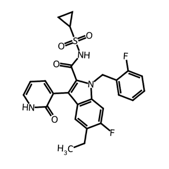 CCc1cc2c(-c3ccc[nH]c3=O)c(C(=O)NS(=O)(=O)C3CC3)n(Cc3ccccc3F)c2cc1F